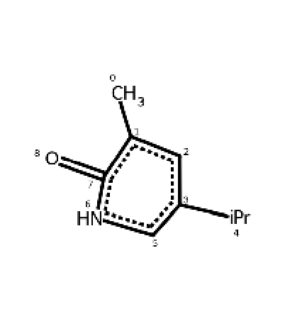 Cc1cc(C(C)C)c[nH]c1=O